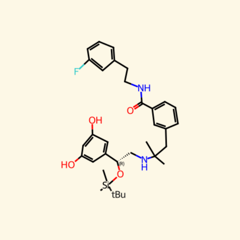 CC(C)(Cc1cccc(C(=O)NCCc2cccc(F)c2)c1)NC[C@H](O[Si](C)(C)C(C)(C)C)c1cc(O)cc(O)c1